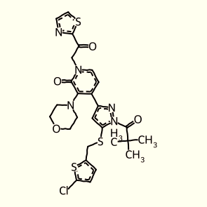 CC(C)(C)C(=O)n1nc(-c2ccn(CC(=O)c3nccs3)c(=O)c2N2CCOCC2)cc1SCc1ccc(Cl)s1